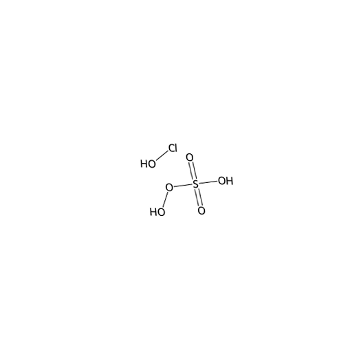 O=S(=O)(O)OO.OCl